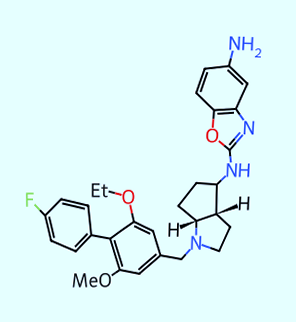 CCOc1cc(CN2CC[C@H]3C(Nc4nc5cc(N)ccc5o4)CC[C@H]32)cc(OC)c1-c1ccc(F)cc1